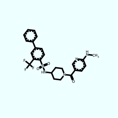 CNc1ccc(C(=O)N2CCC(NS(=O)(=O)c3ccc(-c4ccccc4)cc3C(F)(F)F)CC2)cn1